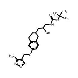 Cc1nocc1COc1ccc2c(c1)CCN(CC(O)CNC(=O)OC(C)(C)C)C2